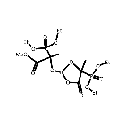 CCOP(=O)(OCC)C(C)(OB1OC(=O)C(C)(P(=O)(OCC)OCC)O1)C(=O)OC